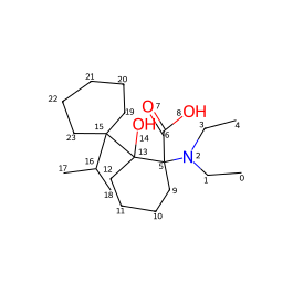 CCN(CC)C1(C(=O)O)CCCCC1(O)C1(C(C)C)CCCCC1